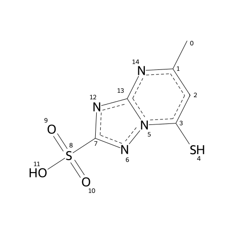 Cc1cc(S)n2nc(S(=O)(=O)O)nc2n1